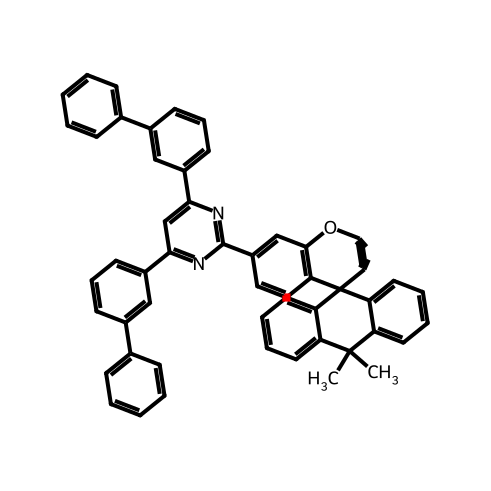 CC1(C)c2ccccc2C2(c3ccccc3Oc3cc(-c4nc(-c5cccc(-c6ccccc6)c5)cc(-c5cccc(-c6ccccc6)c5)n4)ccc32)c2ccccc21